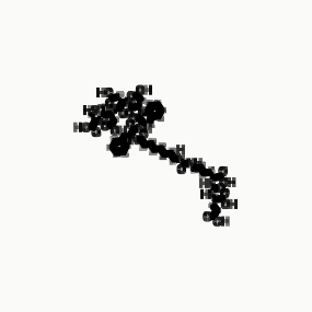 O=C(O)CC[C@H](NC(=O)N[C@@H](CCCCNC(=O)NCCCCCCCC(=O)N[C@@H](Cc1ccccc1)C(=O)N[C@@H](Cc1ccccc1)C(=O)N[C@@H](CC(=O)O)C(=O)N[C@@H](CC(=O)O)C(=O)N[C@@H](CC(=O)O)C(=O)N[C@@H](CS)C(=O)O)C(=O)O)C(=O)O